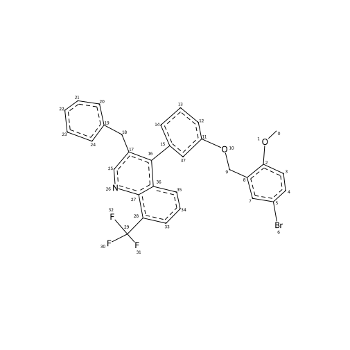 COc1ccc(Br)cc1COc1cccc(-c2c(Cc3ccccc3)cnc3c(C(F)(F)F)cccc23)c1